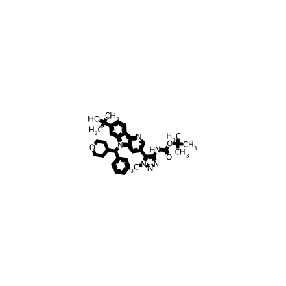 Cn1nnc(NC(=O)OC(C)(C)C)c1-c1cnc2c3ccc(C(C)(C)O)cc3n(C(c3ccccc3)C3CCOCC3)c2c1